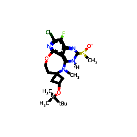 [2H]N1C2=c3c(nc(Cl)c(F)c3=NC1[S+](C)[O-])OCCC1(CC(O[Si](C)(C)C(C)(C)C)C1)N2C